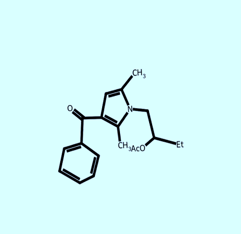 CCC(Cn1c(C)cc(C(=O)c2ccccc2)c1C)OC(C)=O